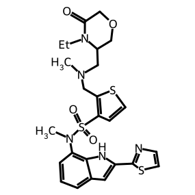 CCN1C(=O)COCC1CN(C)Cc1sccc1S(=O)(=O)N(C)c1cccc2cc(-c3nccs3)[nH]c12